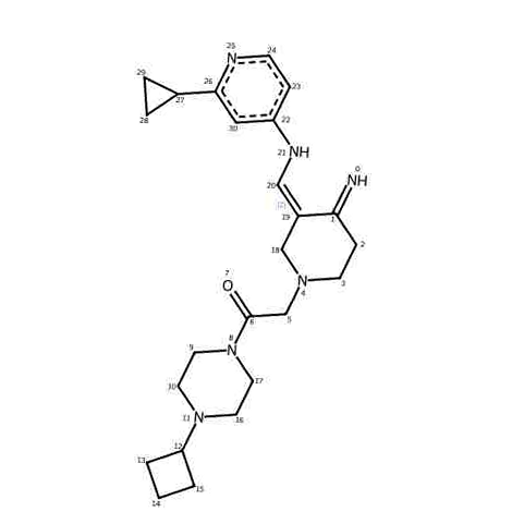 N=C1CCN(CC(=O)N2CCN(C3CCC3)CC2)C/C1=C/Nc1ccnc(C2CC2)c1